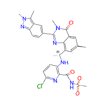 Cc1cc([C@@H](C)Nc2ccc(Cl)nc2C(=O)NS(C)(=O)=O)c2nc(-c3ccc4nn(C)c(C)c4c3)n(C)c(=O)c2c1